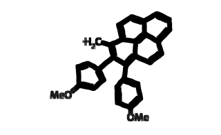 [CH2]c1c(-c2ccc(OC)cc2)c(-c2ccc(OC)cc2)c2ccc3cccc4ccc1c2c43